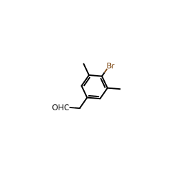 Cc1cc(CC=O)cc(C)c1Br